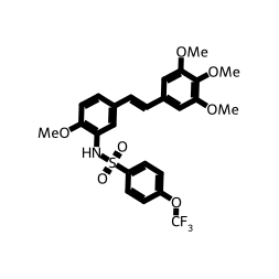 COc1ccc(C=Cc2cc(OC)c(OC)c(OC)c2)cc1NS(=O)(=O)c1ccc(OC(F)(F)F)cc1